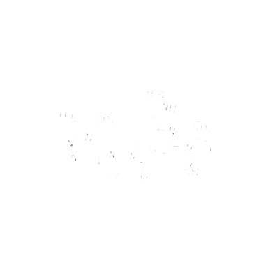 CCn1c(C)nnc1-c1cccc(N2Cc3c(cc(N4[C@H](C)CC[C@H]4C)nc3CNC)C2=O)n1